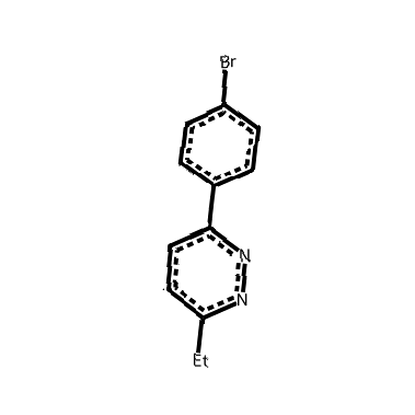 CCc1[c]cc(-c2ccc(Br)cc2)nn1